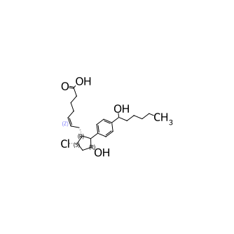 CCCCCC(O)c1ccc(C2[C@H](O)C[C@H](Cl)[C@@H]2C/C=C\CCCC(=O)O)cc1